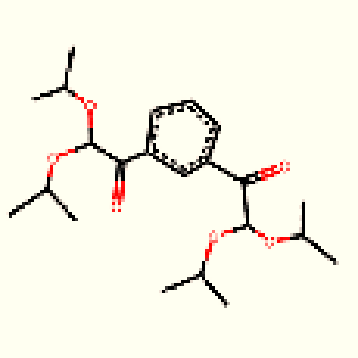 CC(C)OC(OC(C)C)C(=O)c1cccc(C(=O)C(OC(C)C)OC(C)C)c1